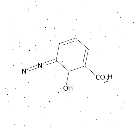 [N-]=[N+]=C1C=CC=C(C(=O)O)C1O